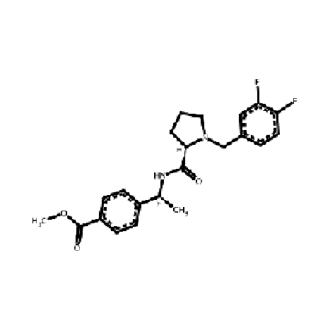 COC(=O)c1ccc([C@H](C)NC(=O)[C@H]2CCCN2Cc2ccc(F)c(F)c2)cc1